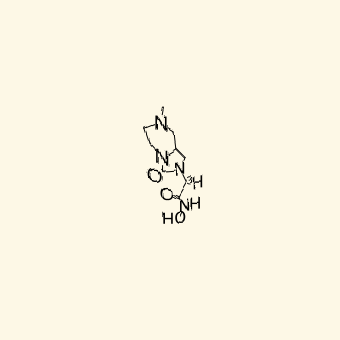 [3H]C(C(=O)NO)N1CC2CN(C)CCN2C1=O